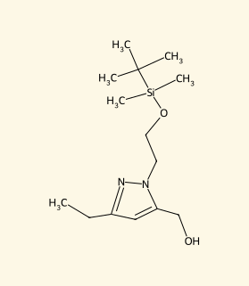 CCc1cc(CO)n(CCO[Si](C)(C)C(C)(C)C)n1